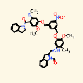 C=Nc1cc(OCc2cc(COc3cc(NCC4Cc5ccccc5N4C=O)c(C)cc3OC)cc([N+](=O)[O-])c2)c(OC)cc1C(=O)N1CCc2ccccc21